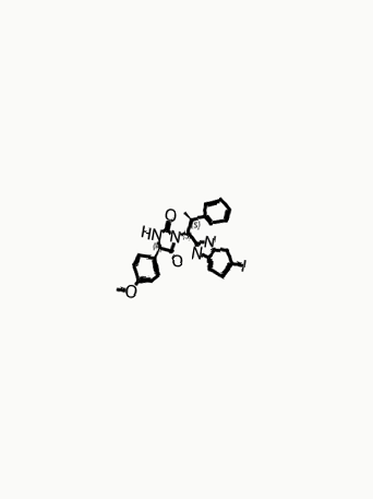 COc1ccc([C@H]2NC(=O)N([C@H](C3=NC4=CC=C(I)CC4=N3)[C@@H](C)c3ccccc3)C2=O)cc1